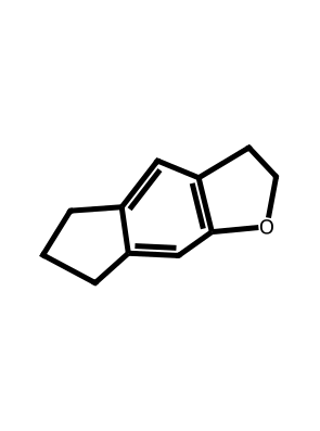 c1c2c(cc3c1CCO3)CCC2